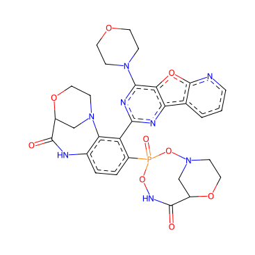 O=C1NOP(=O)(c2ccc3c(c2-c2nc(N4CCOCC4)c4oc5ncccc5c4n2)N2CCOC(C2)C(=O)N3)ON2CCOC1C2